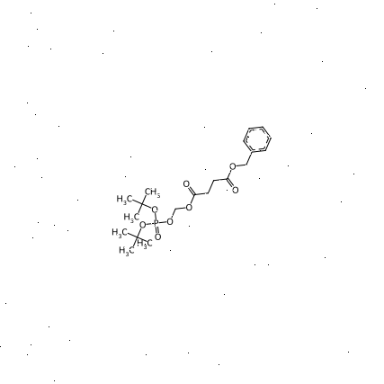 CC(C)(C)OP(=O)(OCOC(=O)CCC(=O)OCc1ccccc1)OC(C)(C)C